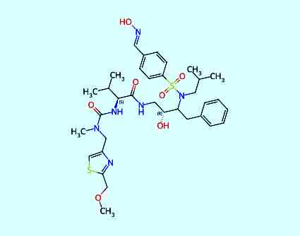 COCc1nc(CN(C)C(=O)N[C@H](C(=O)NC[C@@H](O)C(Cc2ccccc2)N(CC(C)C)S(=O)(=O)c2ccc(C=NO)cc2)C(C)C)cs1